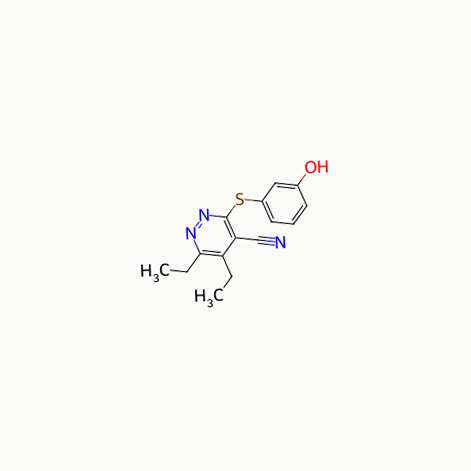 CCc1nnc(Sc2cccc(O)c2)c(C#N)c1CC